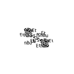 CCCCC(CC)Cc1ccc(-c2c3cc(-c4ccc(C5=C6C(=O)N(CC(CC)CCCC)C(c7cccs7)=C6C(=O)N5CC(CC)CCCC)s4)sc3c(-c3ccc(CC(CC)CCCC)s3)c3cc(-c4ccc(C5=C6C(=O)N(CC(CC)CCCC)C(c7cccs7)=C6C(=O)N5CC(CC)CCCC)s4)sc23)s1